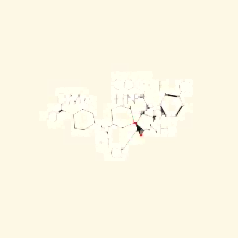 COC(=O)[C@H]1CC[C@H](NC2CCC3(CC2)N[C@@H](C(=O)O)[C@H](c2cccc(Cl)c2F)[C@]32C(=O)Nc3cc(Cl)ccc32)CC1